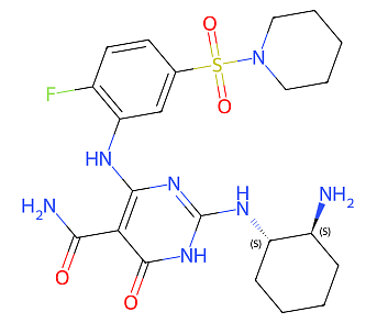 NC(=O)c1c(Nc2cc(S(=O)(=O)N3CCCCC3)ccc2F)nc(N[C@H]2CCCC[C@@H]2N)[nH]c1=O